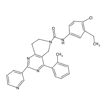 CCc1cc(NC(=O)N2CCc3nc(-c4cccnc4)nc(-c4ccccc4C)c3C2)ccc1Cl